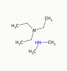 CNC.C[CH2][Al]([CH2]C)[CH2]C